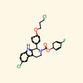 O=C(OC1C=CC(F)=CC1)N1CCc2c([nH]c3ccc(Cl)cc23)C1c1ccc(OCCCCl)cc1